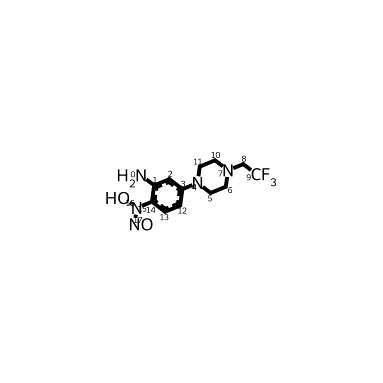 Nc1cc(N2CCN(CC(F)(F)F)CC2)ccc1N(O)N=O